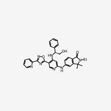 CCN1C(=O)c2ccc(Nc3cc(N[C@H](CO)c4ccccc4)c(-c4nc(-c5ccccn5)no4)cn3)cc2C1(C)C